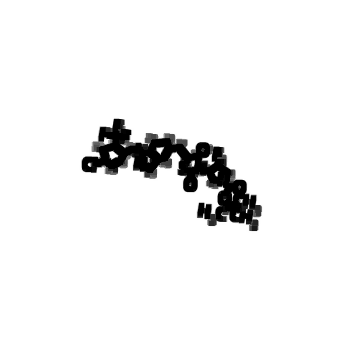 CC(C)(C)OC(=O)N1CC(F)C(N2C(=O)SC(=Cc3ccc4c(cnn4Cc4ccc(Cl)cc4C(F)(F)F)c3)C2=O)C1